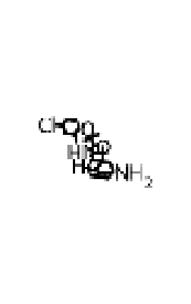 Cc1cc(Cl)ccc1OC(C)(C)C(=O)NC1[C@@H]2CC3C[C@H]1CC(N)(C3)C2